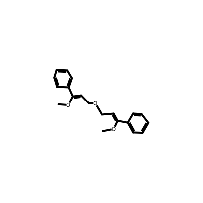 COC(=CCOCC=C(OC)c1ccccc1)c1ccccc1